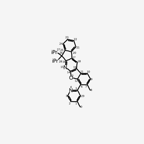 Cc1ccnc(-c2c(C)ccc3c2oc2nc4c(cc23)-c2ccccc2C4(C(C)C)C(C)C)c1